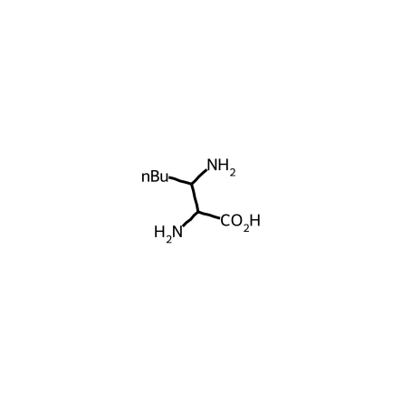 CCCCC(N)C(N)C(=O)O